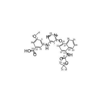 COc1cc(Nc2cc(Oc3ccc(NC(=O)OC(C)(C)C)c4ccccc34)ncn2)cc(C(=O)O)c1